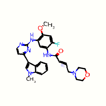 COc1cc(F)c(NC(=O)/C=C/CN2CCOCC2)cc1Nc1nccc(-c2cn(C)c3ccccc23)n1